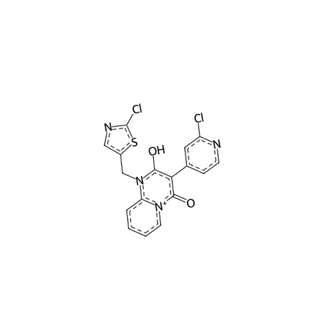 O=c1c(-c2ccnc(Cl)c2)c(O)n(Cc2cnc(Cl)s2)c2cccc[n+]12